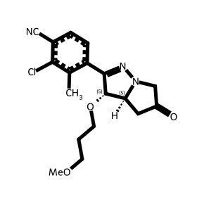 COCCCO[C@@H]1C(c2ccc(C#N)c(Cl)c2C)=NN2CC(=O)C[C@@H]12